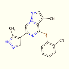 Cc1[nH]ncc1-c1cn2ncc(C#N)c2c(Sc2ccccc2C#N)n1